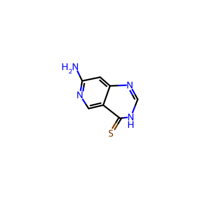 Nc1cc2nc[nH]c(=S)c2cn1